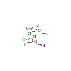 Clc1cc(Cl)c(OCC#CI)cc1Cl.Clc1cc(Cl)c(OCC#CI)cc1Cl